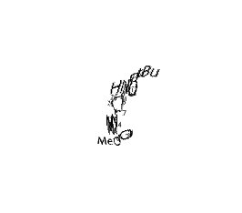 COC(=O)c1cn([C@H]2CC[C@@H](NC(=O)OC(C)(C)C)CC2)nn1